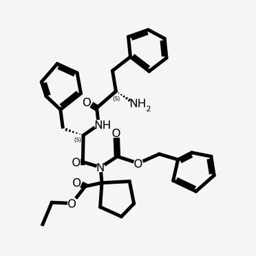 CCOC(=O)C1(N(C(=O)OCc2ccccc2)C(=O)[C@H](Cc2ccccc2)NC(=O)[C@@H](N)Cc2ccccc2)CCCC1